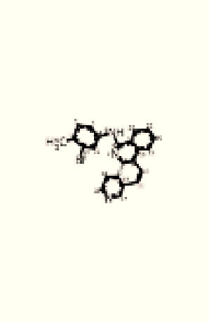 Cc1ccc(Nc2ncc(/C=C\c3cccnc3)c3ccccc23)cc1Br